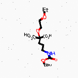 CCOCCOC(CCCNC(=O)OC(C)(C)C)(C(=O)O)C(=O)O